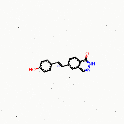 O=c1[nH]ncc2cc(/C=C/c3ccc(O)cc3)ccc12